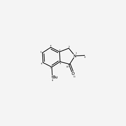 CN1Cc2cccc(C(C)(C)C)c2C1=O